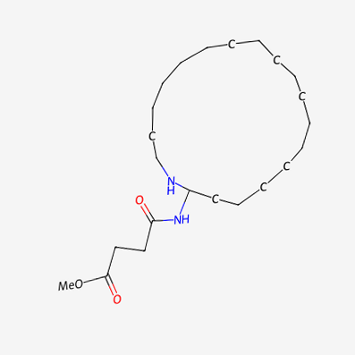 COC(=O)CCC(=O)NC1CCCCCCCCCCCCCCCCCN1